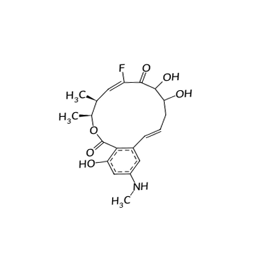 CNc1cc(O)c2c(c1)/C=C/CC(O)C(O)C(=O)/C(F)=C\[C@H](C)[C@H](C)OC2=O